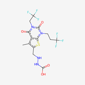 Cc1c(CNNC(=O)O)sc2c1c(=O)n(CC(F)(F)F)c(=O)n2CCC(F)(F)F